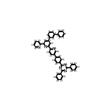 c1ccc(-c2cccc(-c3cc(-c4ccccn4)nc(-c4ccc(-c5ccc(-c6nc(-c7ccccc7)nc(-c7ccccc7)n6)cc5)cn4)c3)c2)cc1